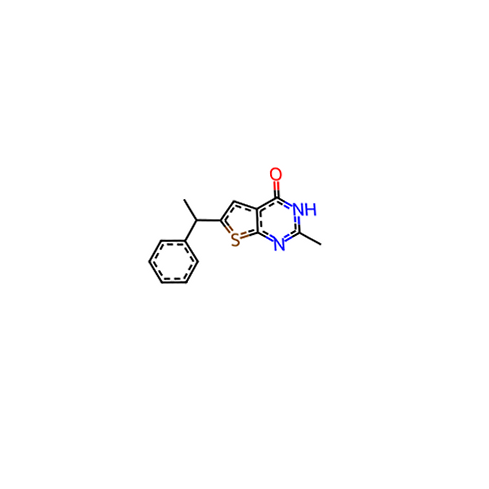 Cc1nc2sc(C(C)c3ccccc3)cc2c(=O)[nH]1